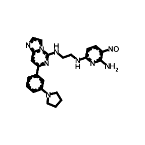 Nc1nc(NCCNc2nc(-c3cccc(N4CCCC4)c3)cc3nccn23)ccc1N=O